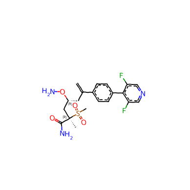 C=C(C[C@H](C[C@](C)(C(N)=O)S(C)(=O)=O)ON)c1ccc(-c2c(F)cncc2F)cc1